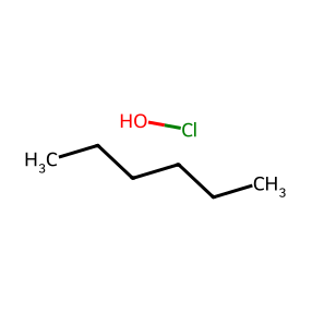 CCCCCC.OCl